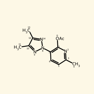 CC(=O)Oc1nc(C)ccc1-n1nc(C)c(C)n1